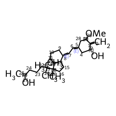 C=C1[C@H](O)C/C(=C\C=C2/CCC[C@@]3(C)C2CC[C@]3(C)C(C)(C)CCC[C@@H](C)O)C[C@H]1OC